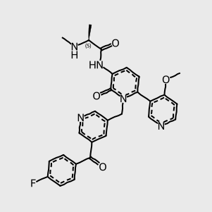 CN[C@@H](C)C(=O)Nc1ccc(-c2cnccc2OC)n(Cc2cncc(C(=O)c3ccc(F)cc3)c2)c1=O